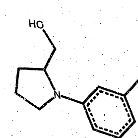 Cc1cccc(N2CCCC2CO)c1